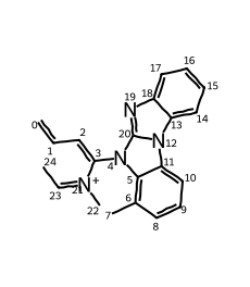 C=C/C=C(n1c2c(C)cccc2n2c3ccccc3nc12)\[N+](C)=C/C